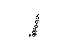 C=CC1CCC(C2CCC(c3ccc(COc4ccc(OCC)c(F)c4F)cc3)CO2)CC1